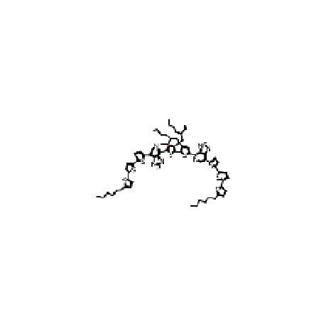 CCCCCCc1ccc(-c2ccc(-c3ccc(-c4cnc(-c5cc6c(s5)-c5sc(-c7ncc(-c8ccc(-c9ccc(-c%10ccc(CCCCCC)s%10)s9)s8)c8nsnc78)cc5C6(CC(CC)CCCC)CC(CC)CCCC)c5nsnc45)s3)s2)s1